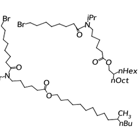 CCCCC(C)CCCCCCCCCCOC(=O)CCCCCN(C(=O)CCCCCCCBr)C(C)C.CCCCCCCCC(CCCCCC)COC(=O)CCCCCN(C(=O)CCCCCCCBr)C(C)C